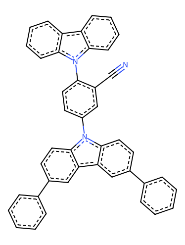 N#Cc1cc(-n2c3ccc(-c4ccccc4)cc3c3cc(-c4ccccc4)ccc32)ccc1-n1c2ccccc2c2ccccc21